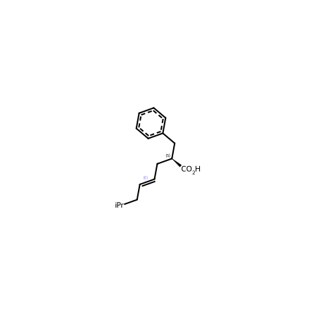 CC(C)C/C=C/C[C@@H](Cc1ccccc1)C(=O)O